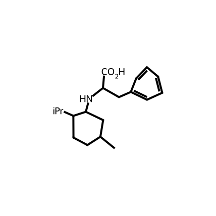 CC1CCC(C(C)C)C(NC(Cc2ccccc2)C(=O)O)C1